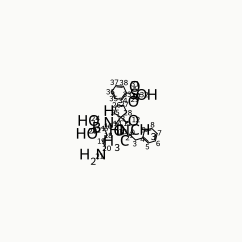 CC(C)(Cc1ccccc1)NC(=O)C1(C(=O)NC(CCCN)B(O)O)CCCC1.O=S(=O)(O)c1ccccc1